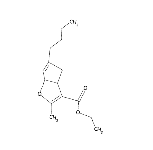 CCCCC1=CC2OC(C)=C(C(=O)OCC)C2C1